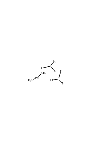 CCP(CC)CC.CCP(CC)CC.[CH3][Pd][CH3]